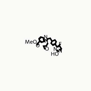 COC(=O)c1ccc2nc(CC3CC=C(c4nc(O)ncc4F)CC3)n(CC3CCO3)c2c1